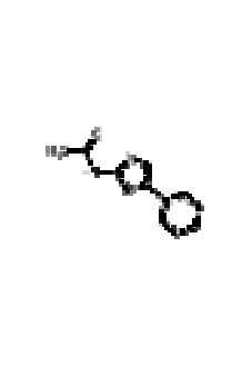 CC(=O)Nc1nc(-c2cccnc2)cs1